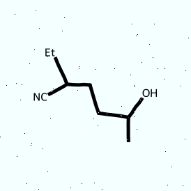 CCC(C#N)CCC(C)O